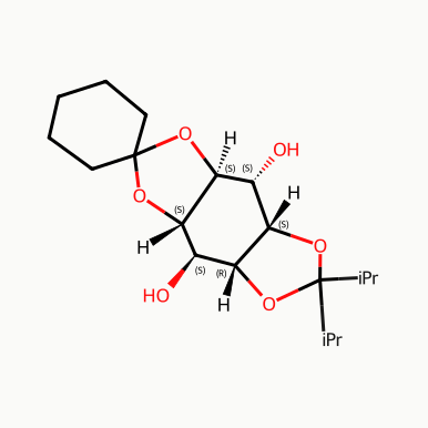 CC(C)C1(C(C)C)O[C@@H]2[C@@H](O)[C@@H]3OC4(CCCCC4)O[C@H]3[C@H](O)[C@@H]2O1